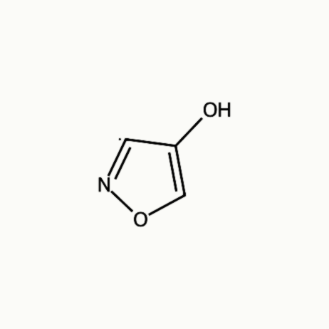 Oc1[c]noc1